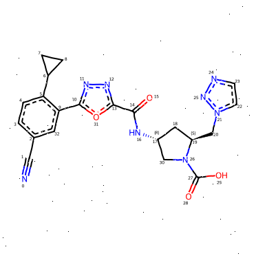 N#Cc1ccc(C2CC2)c(-c2nnc(C(=O)N[C@@H]3C[C@@H](Cn4ccnn4)N(C(=O)O)C3)o2)c1